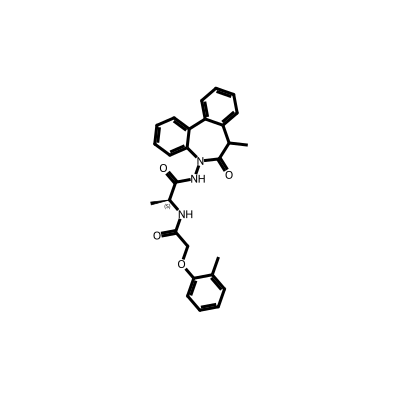 Cc1ccccc1OCC(=O)N[C@@H](C)C(=O)NN1C(=O)C(C)c2ccccc2-c2ccccc21